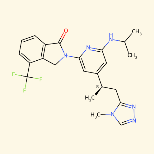 CC(C)Nc1cc([C@H](C)Cc2nncn2C)cc(N2Cc3c(cccc3C(F)(F)F)C2=O)n1